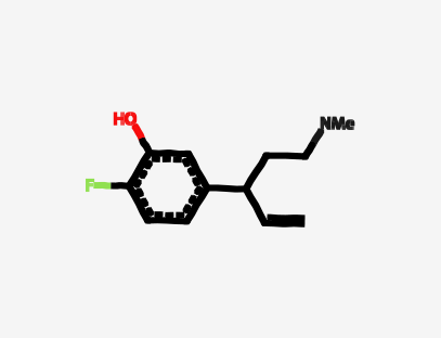 C=CC(CCNC)c1ccc(F)c(O)c1